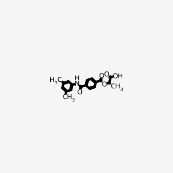 Cc1cc(C)cc(NC(=O)c2ccc(C(=O)O[C@@H](C)C(=O)O)cc2)c1